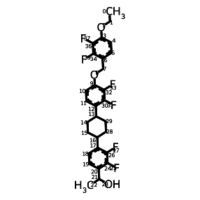 CCOc1ccc(COc2ccc(C3CCC(c4ccc(C(C)O)c(F)c4F)CC3)c(F)c2F)c(F)c1F